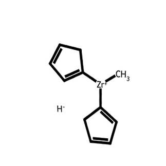 [CH3][Zr+]([C]1=CC=CC1)[C]1=CC=CC1.[H-]